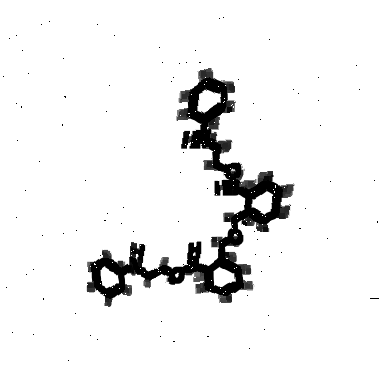 B(OCCNc1ccccc1)c1ccccc1COCc1ccccc1BOCCNc1ccccc1